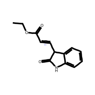 CCOC(=O)/C=C/C1C(=O)Nc2ccccc21